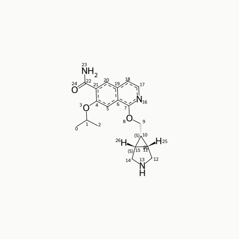 CC(C)Oc1cc2c(OC[C@@H]3[C@@H]4CNC[C@@H]43)nccc2cc1C(N)=O